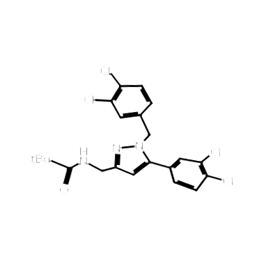 CC(C)(C)C(=O)NCc1cc(-c2ccc(Cl)c(Cl)c2)n(Cc2ccc(Cl)c(Cl)c2)n1